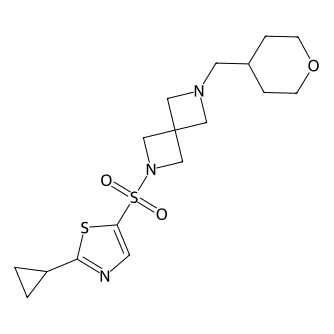 O=S(=O)(c1cnc(C2CC2)s1)N1CC2(CN(CC3CCOCC3)C2)C1